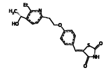 CCc1nc(CCOc2ccc(/C=C3\SC(=O)NC3=O)cc2)ccc1[C@@H](C)O